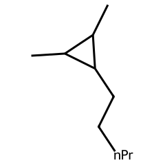 CCCCCC1C(C)C1C